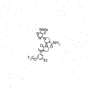 CCc1cc(OC(F)(F)F)cc(N(I)[C@@H]2CCCN([C@H]3CN(c4ncnc(NC)c4F)CC[C@@H]3C(N)=O)C2=O)c1